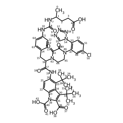 CC(CCC(=O)O)NC(=O)Nc1ccc(CC(C(=O)Nc2ccc3c(c2C(C)(C)C)c(C(C)(C)C)c(C(=O)O)n3C(=O)O)N2CCN(c3cc(Cl)ccc3-n3cnnn3)C(=O)C2=O)cc1